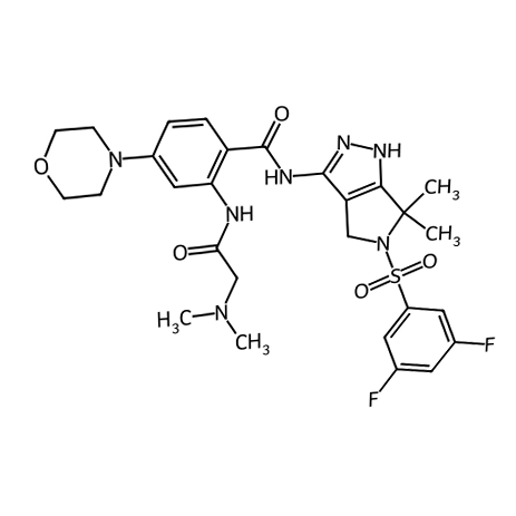 CN(C)CC(=O)Nc1cc(N2CCOCC2)ccc1C(=O)Nc1n[nH]c2c1CN(S(=O)(=O)c1cc(F)cc(F)c1)C2(C)C